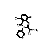 CC[C@H](N)c1nc2c(F)ccc(Cl)c2c(=O)n1-c1cccnc1